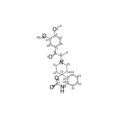 COc1ccc(C(=O)C(C)N2CCC3(CC2)OC(=O)Nc2ccccc23)cc1OC